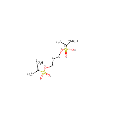 CC(S(=O)(=O)O)S(=O)(=O)OCCCOS(=O)(=O)C(C)S(=O)(=O)O